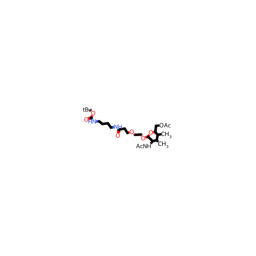 CC(=O)NC1C(OCCOCCC(=O)NCCCCNC(=O)OC(C)(C)C)OC(COC(C)=O)C(C)C1C